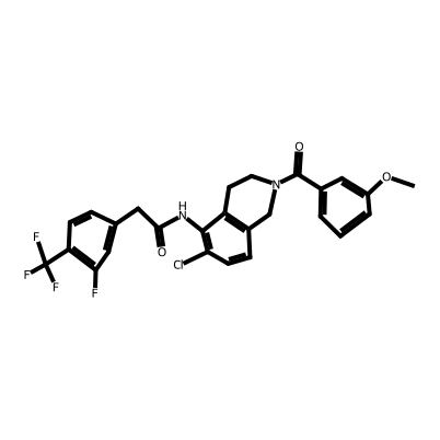 COc1cccc(C(=O)N2CCc3c(ccc(Cl)c3NC(=O)Cc3ccc(C(F)(F)F)c(F)c3)C2)c1